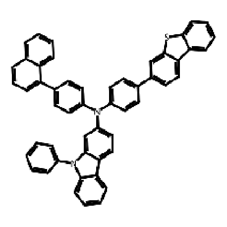 c1ccc(-n2c3ccccc3c3ccc(N(c4ccc(-c5ccc6c(c5)sc5ccccc56)cc4)c4ccc(-c5cccc6ccccc56)cc4)cc32)cc1